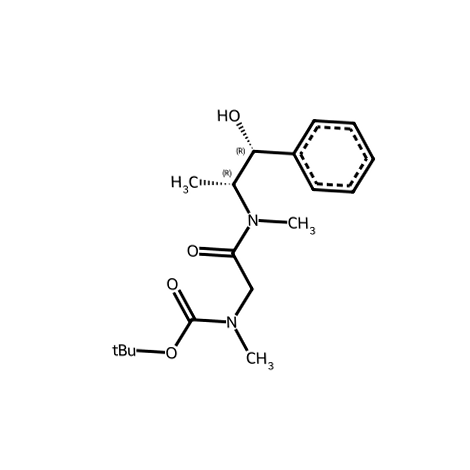 C[C@H]([C@H](O)c1ccccc1)N(C)C(=O)CN(C)C(=O)OC(C)(C)C